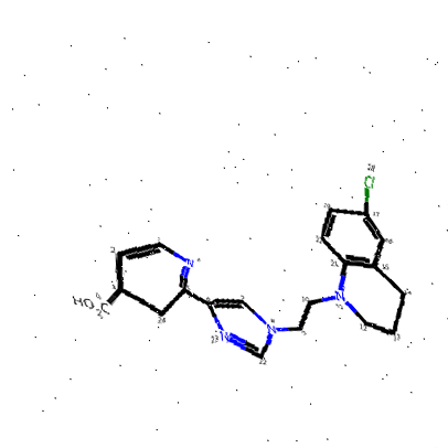 O=C(O)C1C=CN=C(c2cn(CCN3CCCc4cc(Cl)ccc43)cn2)C1